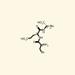 CC[C@H](C)[C@H](NC(=O)[C@H](CCC(=O)O)NC(=O)[C@@H](N)CC(C)C)C(=O)O